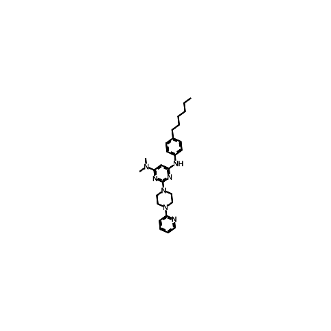 CCCCCCc1ccc(Nc2cc(N(C)C)nc(N3CCN(c4ccccn4)CC3)n2)cc1